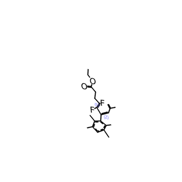 C=C(C)/C=C(\C(F)=C(/F)CCC(=O)OCC)c1c(C)c(C)cc(C)c1C